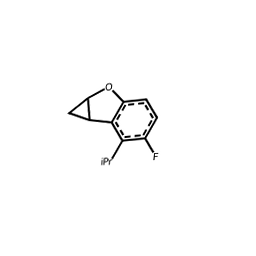 CC(C)c1c(F)ccc2c1C1CC1O2